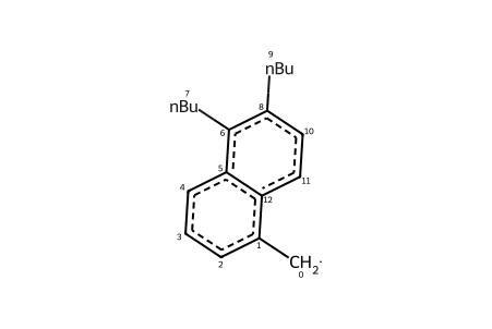 [CH2]c1cccc2c(CCCC)c(CCCC)ccc12